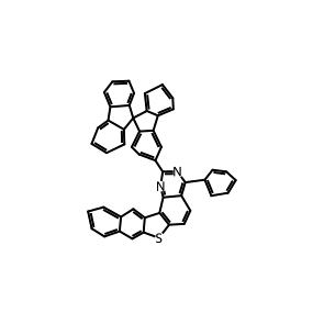 c1ccc(-c2nc(-c3ccc4c(c3)-c3ccccc3C43c4ccccc4-c4ccccc43)nc3c2ccc2sc4cc5ccccc5cc4c23)cc1